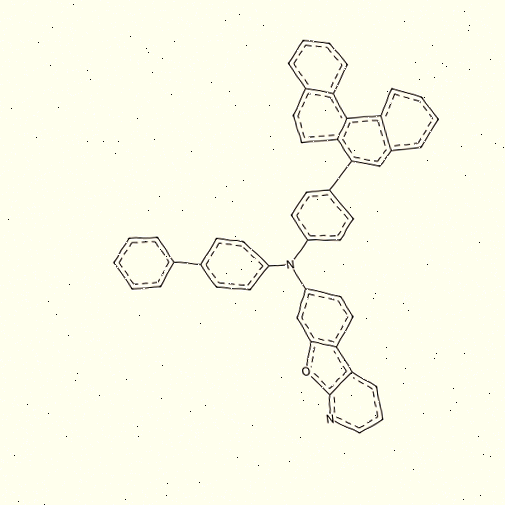 c1ccc(-c2ccc(N(c3ccc(-c4cc5ccccc5c5c4ccc4ccccc45)cc3)c3ccc4c(c3)oc3ncccc34)cc2)cc1